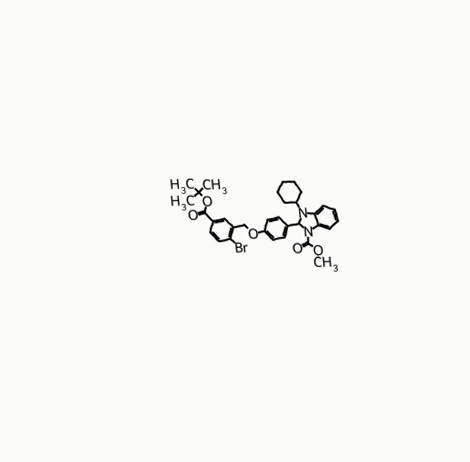 COC(=O)N1c2ccccc2N(C2CCCCC2)C1c1ccc(OCc2cc(C(=O)OC(C)(C)C)ccc2Br)cc1